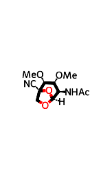 CO[C@@H]1[C@@H](NC(C)=O)[C@H]2OC[C@](C#N)(O2)[C@@H]1OC